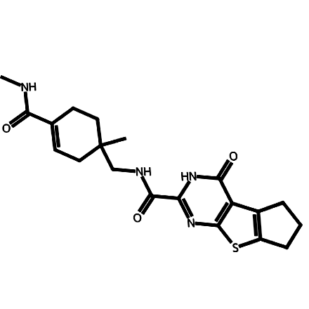 CNC(=O)C1=CCC(C)(CNC(=O)c2nc3sc4c(c3c(=O)[nH]2)CCC4)CC1